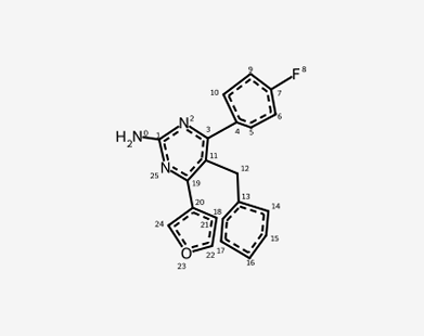 Nc1nc(-c2ccc(F)cc2)c(Cc2ccccc2)c(-c2ccoc2)n1